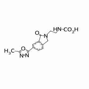 Cc1nnc(-c2ccc3c(c2)C(=O)N(CCNC(=O)O)C3)o1